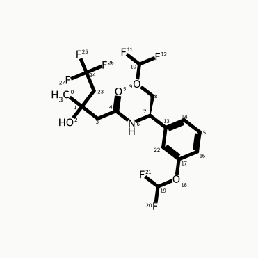 CC(O)(CC(=O)N[C@@H](COC(F)F)c1cccc(OC(F)F)c1)CC(F)(F)F